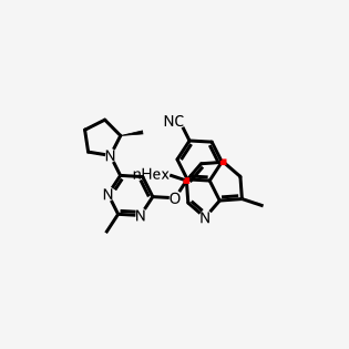 CCCCCCC1=C/CC/C(C)=C(c2ccc(C#N)cc2Oc2cc(N3CCC[C@H]3C)nc(C)n2)/N=C\1